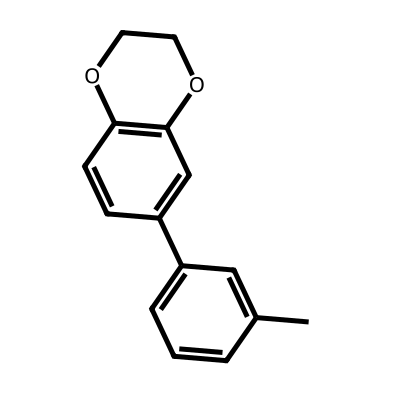 Cc1cccc(-c2ccc3c(c2)OCCO3)c1